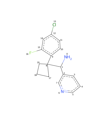 NC(c1cccnc1)C1(c2ccc(Cl)cc2F)CCC1